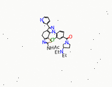 CCN(CC)C1CCN(C(=O)c2ccc(-n3nc(-c4cccnc4)c4c3-c3sc(NC(C)=O)nc3CC4)c(Cl)c2)C1